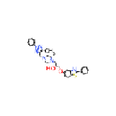 Cc1nn(-c2ccccc2)nc1CN1CCN(C[C@@H](O)COc2ccc3sc(-c4ccccc4)nc3c2)CC1